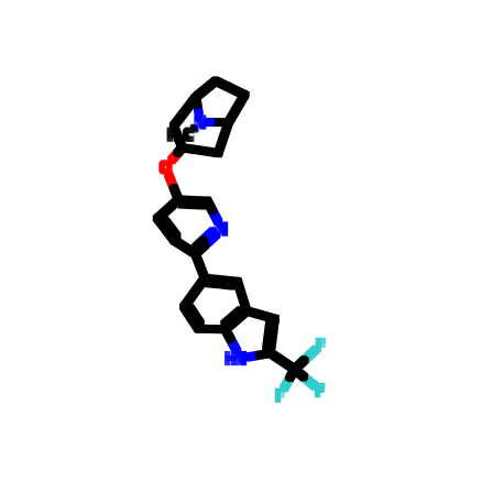 CN1C2CCC1CC(Oc1ccc(-c3ccc4[nH]c(C(F)(F)F)cc4c3)nc1)C2